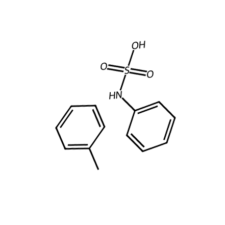 Cc1ccccc1.O=S(=O)(O)Nc1ccccc1